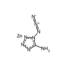 [N-]=[N+]=Nn1nnnc1N.[Zn]